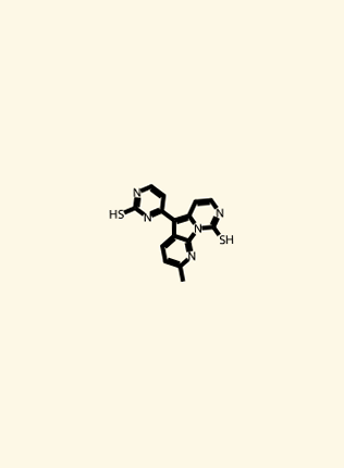 Cc1ccc2c(-c3ccnc(S)n3)c3ccnc(S)n3c2n1